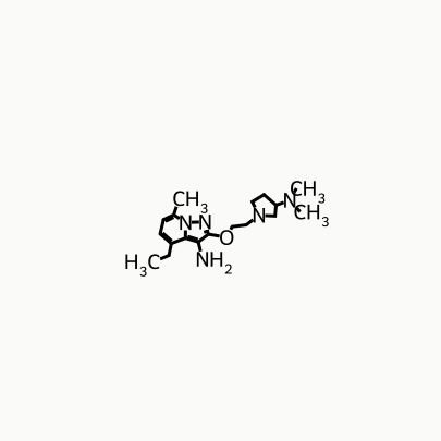 CCc1ccc(C)n2nc(OCCN3CCC(N(C)C)C3)c(N)c12